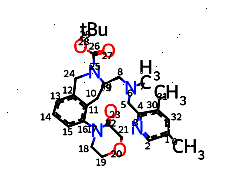 Cc1cnc(CN(C)C[C@H]2Cc3c(cccc3N3CCOCC3=O)CN2C(=O)OC(C)(C)C)c(C)c1